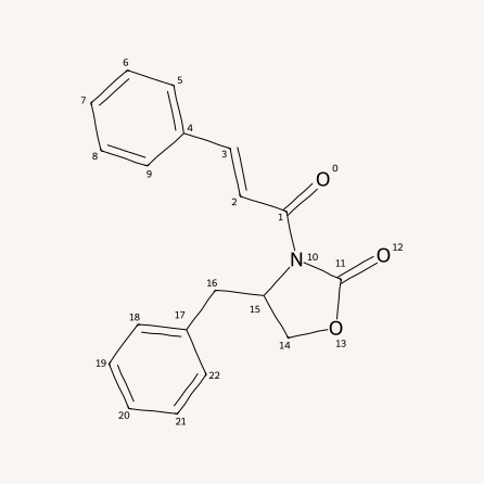 O=C(C=Cc1ccccc1)N1C(=O)OCC1Cc1ccccc1